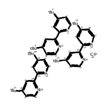 CC(C)(C)c1ccnc(-c2cc(C(C)(C)C)ccn2)c1.CC(C)(C)c1ccnc(-c2cc(C(C)(C)C)ccn2)c1.CC(C)(C)c1ccnc(-c2cc(C(C)(C)C)ccn2)c1.[Co]